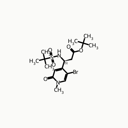 Cn1cc(Br)c([C@H](CC(=O)OC(C)(C)C)NS(=O)(=O)C(C)(C)C)cc1=O